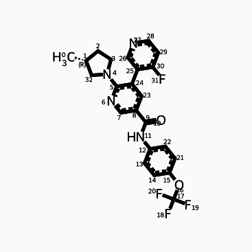 C[C@@H]1CCN(c2ncc(C(=O)Nc3ccc(OC(F)(F)F)cc3)cc2-c2cnccc2F)C1